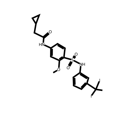 COc1cc(NC(=O)CC2CC2)ccc1S(=O)(=O)Nc1cccc(C(C)(I)I)c1